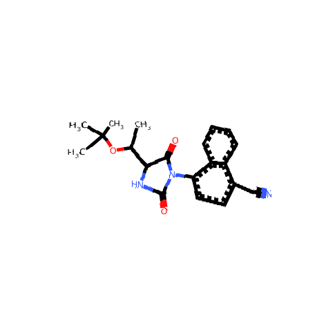 CC(OC(C)(C)C)C1NC(=O)N(c2ccc(C#N)c3ccccc23)C1=O